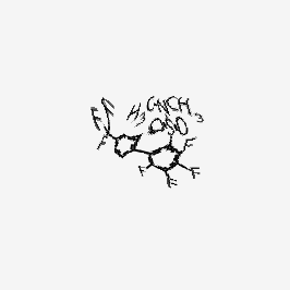 CN(C)S(=O)(=O)c1c(F)c(F)c(F)c(F)c1-c1ccc(C(F)(F)F)cc1